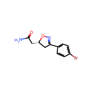 NC(=O)C[C@H]1CC(c2ccc(Br)cc2)=NO1